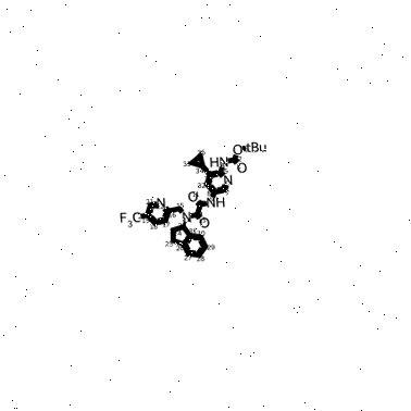 CC(C)(C)OC(=O)Nc1ncc(NC(=O)C(=O)N(Cc2ccc(C(F)(F)F)cn2)[C@@H]2CCc3ccccc32)cc1C1CC1